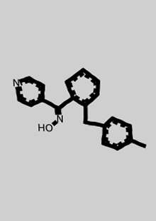 Cc1ccc(Cc2ccccc2C(=NO)c2ccncc2)cc1